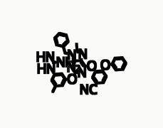 Cc1cc(NC(=N)N)cc(Oc2nc(Oc3cc(C#N)ccc3Oc3ccccc3)c3nc(C)n(Cc4ccccc4)c3n2)c1